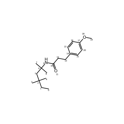 CCC(C)(C)CC(C)(C)NC(=O)CCc1ccc(OC)cc1